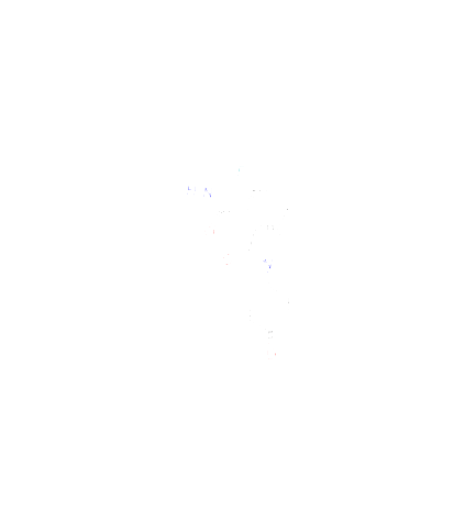 NC(=O)c1c(F)ccc2c1C(=O)N(C1CCC(=O)CC1)C2